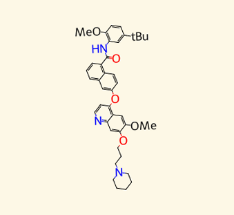 COc1ccc(C(C)(C)C)cc1NC(=O)c1cccc2cc(Oc3ccnc4cc(OCCCN5CCCCC5)c(OC)cc34)ccc12